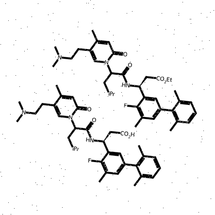 CCOC(=O)C[C@H](NC(=O)C(CC(C)C)n1cc(CCN(C)C)c(C)cc1=O)c1cc(-c2c(C)cccc2C)cc(C)c1F.Cc1cc(=O)n(C(CC(C)C)C(=O)N[C@@H](CC(=O)O)c2cc(-c3c(C)cccc3C)cc(C)c2F)cc1CCN(C)C